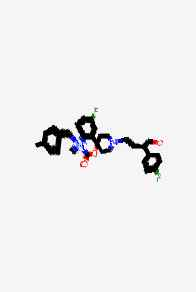 Cc1ccc(C[N+]2(C)C(=O)OC3(CCN(CCC(C=O)c4ccc(F)cc4)CC3)c3cc(F)ccc32)cc1